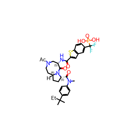 CCC(C)(C)c1ccc(N(C)C(=O)[C@@H]2CC[C@@H]3CCN(C(C)=O)C[C@H](NC(=O)c4cc5cc(C(F)(F)P(=O)(O)O)ccc5s4)C(=O)N32)cc1